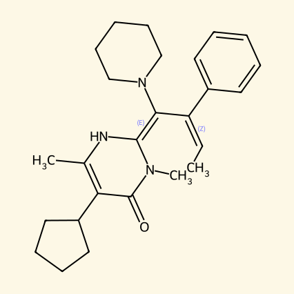 C/C=C(\C(=C1\NC(C)=C(C2CCCC2)C(=O)N1C)N1CCCCC1)c1ccccc1